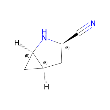 N#C[C@H]1C[C@H]2C[C@H]2N1